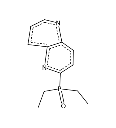 CCP(=O)(CC)c1ccc2ncccc2n1